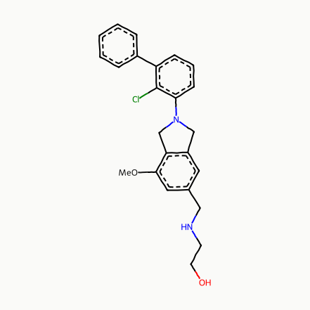 COc1cc(CNCCO)cc2c1CN(c1cccc(-c3ccccc3)c1Cl)C2